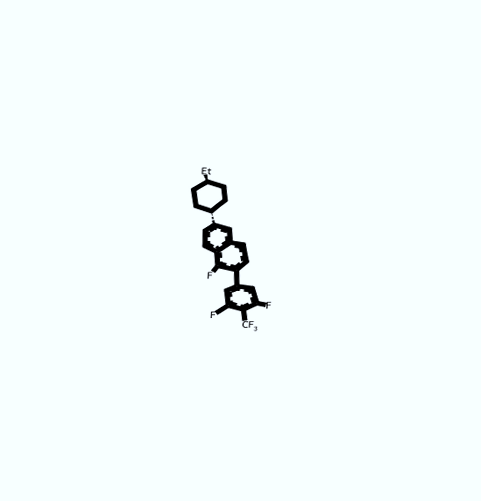 CC[C@H]1CC[C@H](c2ccc3c(F)c(-c4cc(F)c(C(F)(F)F)c(F)c4)ccc3c2)CC1